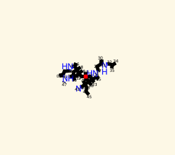 C=C(CCNC(=C)C(C)(CC(C)(C)C)C(C)(C)CC(C)(C)CC(C)(C(=C)NCCC(=C)NCC(C)C)C(C)(C)C(C)(C#N)CCC)NC